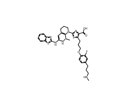 CNCCCc1ccc(OCCCc2sc(N3CCCC4=C3N(C)NC(Nc3nc5ccccc5s3)=C4)nc2C(=O)O)c(F)c1